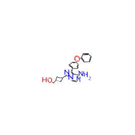 Nc1nccn2c(C3CC(CO)C3)nc(-c3ccc(Oc4ccccc4)cc3)c12